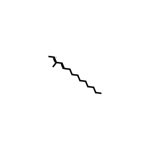 C/[C]=C(\C)C=CCCCCCCCCC